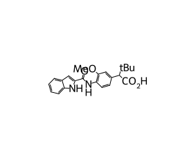 COc1cc(C(C(=O)O)C(C)(C)C)ccc1NC(=O)c1cc2ccccc2[nH]1